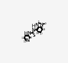 Cn1cnc2c(NC(=S)Nc3cccnc3)cccc21